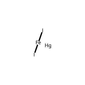 [Hg].[I][Fe][I]